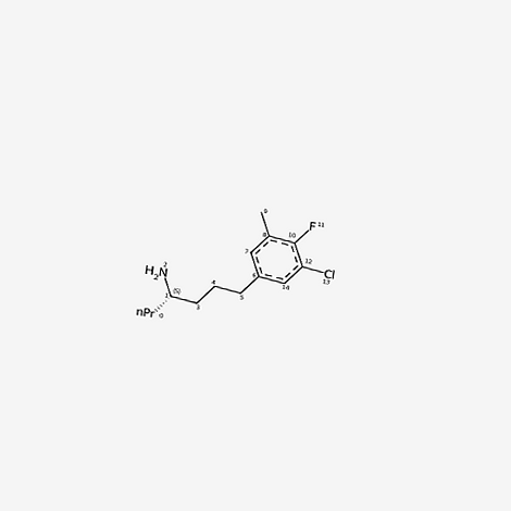 CCC[C@H](N)CCCc1cc(C)c(F)c(Cl)c1